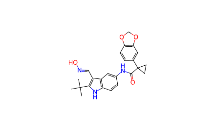 CC(C)(C)c1[nH]c2ccc(NC(=O)C3(c4ccc5c(c4)OCO5)CC3)cc2c1C=NO